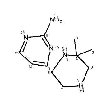 CC1(C)CNCCN1.Nc1ncccn1